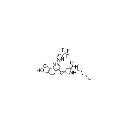 C=CCCCCN(C)C(=O)[C@@H]1C[C@H](Oc2cc(-n3ccc(C(F)(F)F)n3)nc3c(Cl)c(CO)ccc23)CN1